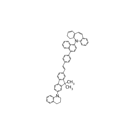 CC1(C)c2cc(/C=C/c3ccc(-c4ccc(N5C6=C(C=CCC6)C=Cc6ccccc65)c5ccccc45)cc3)ccc2-c2ccc(N3CCCc4ccccc43)cc21